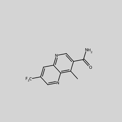 Cc1c(C(N)=O)cnc2cc(C(F)(F)F)cnc12